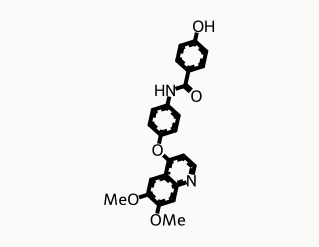 COc1cc2nccc(Oc3ccc(NC(=O)c4ccc(O)cc4)cc3)c2cc1OC